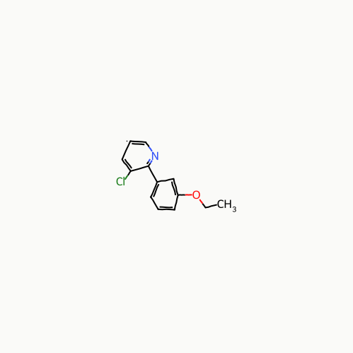 CCOc1cccc(-c2nc[c]cc2Cl)c1